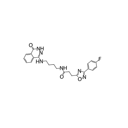 O=C(CCc1nc(-c2ccc(F)cc2)no1)NCCCCNc1n[nH]c(=O)c2ccccc12